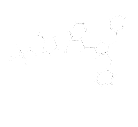 O=C(c1cc(Cc2ccccc2)c(Cc2ccccc2)s1)c1cncnc1N[C@@H]1C[C@H](CNS(=O)(=O)O)[C@@H](O)C1